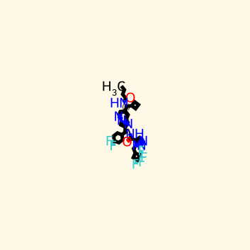 CCCC(=O)N[C@@H](c1cnn2cc([C@@H](NC(=O)c3cnnn3CC3CC(F)(F)C3(F)F)C3CCC(F)(F)CC3)nc2c1)C1CCC1